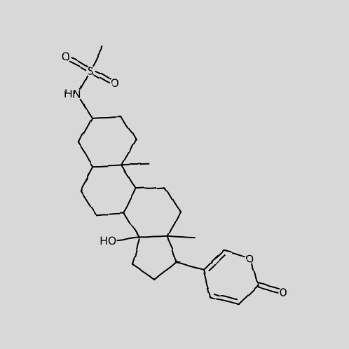 CC12CCC(NS(C)(=O)=O)CC1CCC1C2CCC2(C)C(c3ccc(=O)oc3)CCC12O